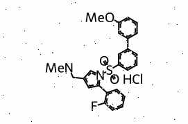 CNCc1cc(-c2ccccc2F)n(S(=O)(=O)c2cccc(-c3cccc(OC)c3)c2)c1.Cl